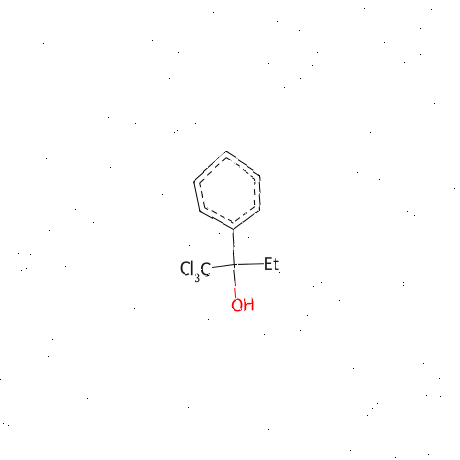 CCC(O)(c1ccccc1)C(Cl)(Cl)Cl